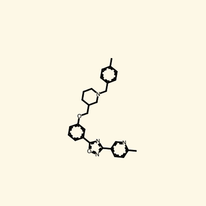 Cc1ccc(CN2CCCC(COc3cccc(-c4nc(-c5ccc(C)nc5)no4)c3)C2)cc1